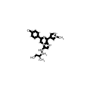 C[C@@H](CO)[SiH2]Nc1cnc2c(-c3cnn(C)c3)nc(-c3ccc(Cl)cc3)cn12